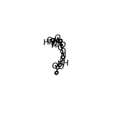 O=C1CCC(N2Cc3c(NC(=O)OCCOCCN4CCN(CCNC=C5C(=O)CC(c6ccccc6)CC5=O)CC4)cccc3C2=O)C(=O)N1